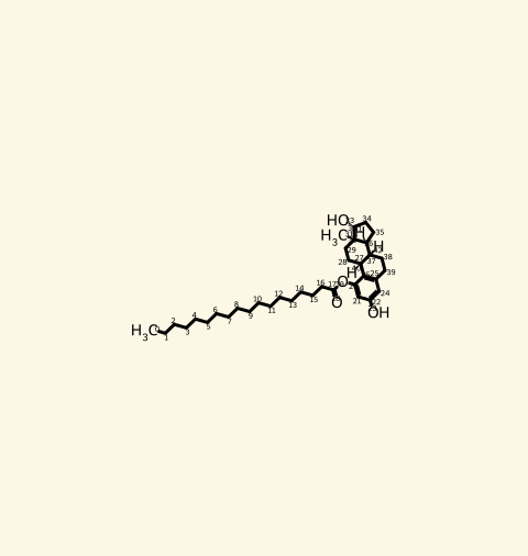 CCCCCCCCCCCCCCCCCC(=O)Oc1cc(O)cc2c1[C@H]1CC[C@]3(C)[C@H](O)CC[C@H]3[C@@H]1CC2